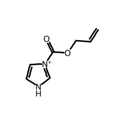 C=CCOC(=O)[n+]1cc[nH]c1